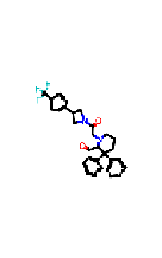 O=CC1N(CC(=O)N2CC(c3ccc(C(F)(F)F)cc3)C2)CCCC1(c1ccccc1)c1ccccc1